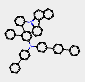 c1ccc(-c2ccc(-c3ccc(N(c4ccc(-c5ccccc5)cc4)c4ccc(-c5ccccc5-n5c6ccccc6c6c7ccccc7ccc65)c(-c5ccccc5)c4)cc3)cc2)cc1